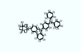 CC1(C)OB(c2ccc3c(c2)c2ccccc2n3-c2ccc(N(c3ccccc3)c3ccccc3)cc2)OC1(C)C